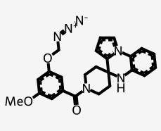 COc1cc(OCN=[N+]=[N-])cc(C(=O)N2CCC3(CC2)Nc2ccccc2-n2cccc23)c1